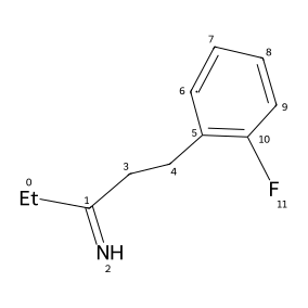 CCC(=N)CCc1[c]cccc1F